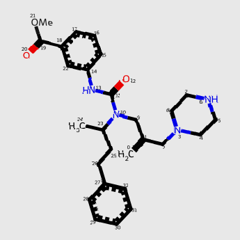 C=C(CN1CCNCC1)CN(C(=O)Nc1cccc(C(=O)OC)c1)C(C)CCc1ccccc1